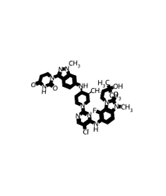 C[C@@H]1CN(c2ncc(Cl)c(Nc3ccc4c(c3F)n(CCC(C)(C)O)c(=O)n4C)n2)CC[C@H]1Nc1ccc2c(N3CCC(=O)NC3=O)nn(C)c2c1